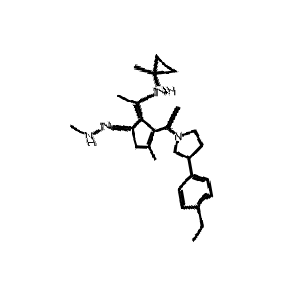 C=C(C1=C(C)CC(=NNC)/C1=C(\C)NC1(C)CC1)N1CCC(c2ccc(CC)cc2)C1